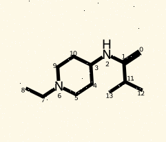 C=C(NC1CCN(CC)CC1)C(C)C